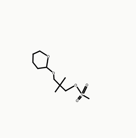 CC(C)(COC1CCCCO1)COS(C)(=O)=O